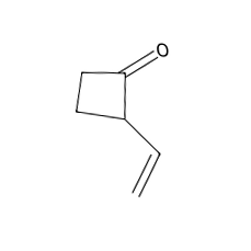 C=CC1CCC1=O